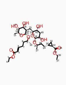 CCOC(=O)/C=C/CC[C@@H](C)O[C@@H]1O[C@@H](C)[C@H](O)[C@@H](O)[C@H]1C[C@@H]1O[C@@H](O[C@H](C)CC[C@@H]2C[C@H]2C(=O)OCC)[C@H](O)C[C@H]1O